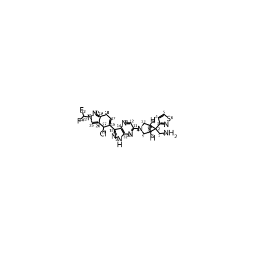 NCC1(c2ccsn2)[C@@H]2CN(c3cnc4c(C5=CCc6nn(C(F)F)cc6C5Cl)n[nH]c4n3)C[C@@H]21